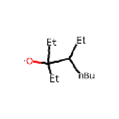 CCCCC(CC)C([O])(CC)CC